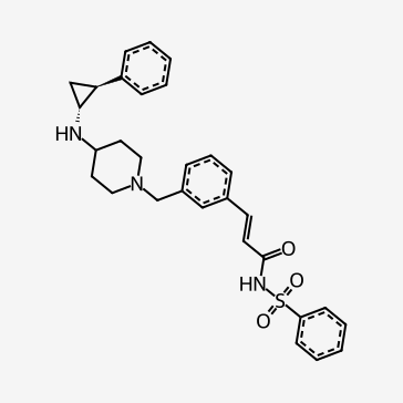 O=C(/C=C/c1cccc(CN2CCC(N[C@@H]3C[C@H]3c3ccccc3)CC2)c1)NS(=O)(=O)c1ccccc1